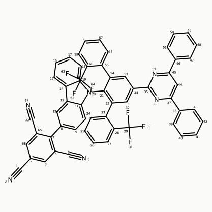 N#Cc1cc(C#N)c(-c2ccc3c(c2)c2ccccc2n3-c2c(-c3ccccc3C(F)(F)F)cc(-c3nc(-c4ccccc4)cc(-c4ccccc4)n3)cc2-c2ccccc2C(F)(F)F)c(C#N)c1